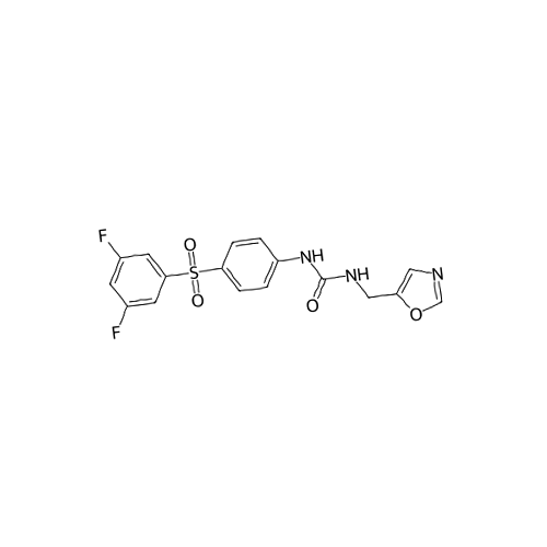 O=C(NCc1cnco1)Nc1ccc(S(=O)(=O)c2cc(F)cc(F)c2)cc1